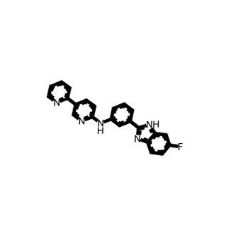 Fc1ccc2nc(-c3cccc(Nc4ccc(-c5ccccn5)cn4)c3)[nH]c2c1